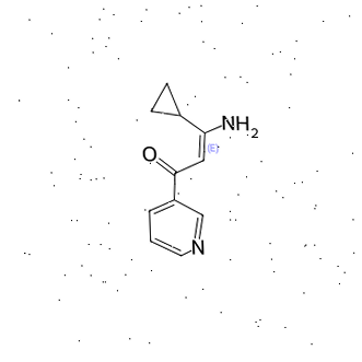 N/C(=C/C(=O)c1cccnc1)C1CC1